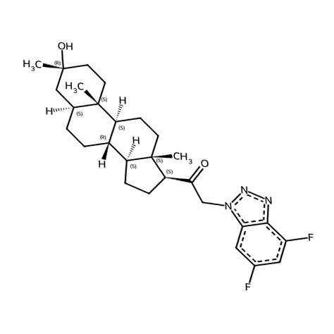 C[C@@]1(O)CC[C@@]2(C)[C@@H](CC[C@@H]3[C@@H]2CC[C@]2(C)[C@@H](C(=O)Cn4nnc5c(F)cc(F)cc54)CC[C@@H]32)C1